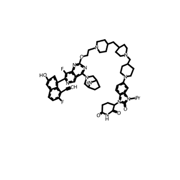 C#Cc1c(F)ccc2cc(O)cc(-c3ncc4c(N5CC6CCC(C5)N6)nc(OCCN5CCC(CC6CCN(CC7CCN(c8ccc9c(c8)n(C(C)C)c(=O)n9C8CCC(=O)NC8=O)CC7)CC6)CC5)nc4c3F)c12